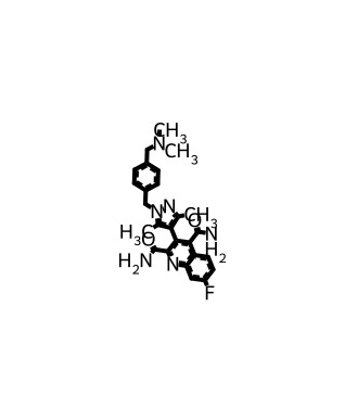 Cc1nn(Cc2ccc(CN(C)C)cc2)c(C)c1-c1c(C(N)=O)nc2cc(F)ccc2c1C(N)=O